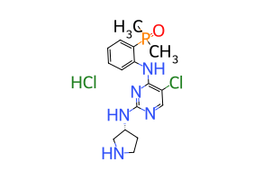 CP(C)(=O)c1ccccc1Nc1nc(N[C@@H]2CCNC2)ncc1Cl.Cl